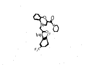 O=C(CN1CC(C(=O)N2CCCCC2)Oc2ccccc21)Nc1cc(C(F)(F)F)ccc1Cl